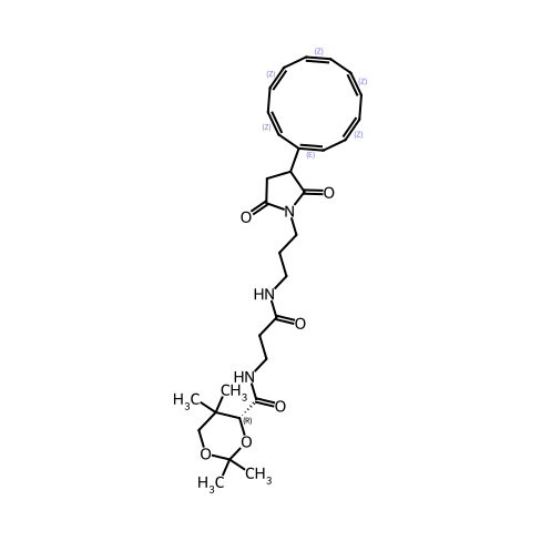 CC1(C)OCC(C)(C)[C@H](C(=O)NCCC(=O)NCCCN2C(=O)CC(C3=C/C=C\C=C/C=C\C=C/C=C\3)C2=O)O1